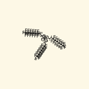 O=P(OCCC(F)(F)C(F)(F)C(F)(F)C(F)(F)C(F)(F)C(F)(F)F)(OCCC(F)(F)C(F)(F)C(F)(F)C(F)(F)C(F)(F)C(F)(F)F)OCCC(F)(F)C(F)(F)C(F)(F)C(F)(F)C(F)(F)C(F)(F)F